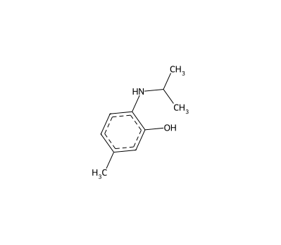 Cc1ccc(NC(C)C)c(O)c1